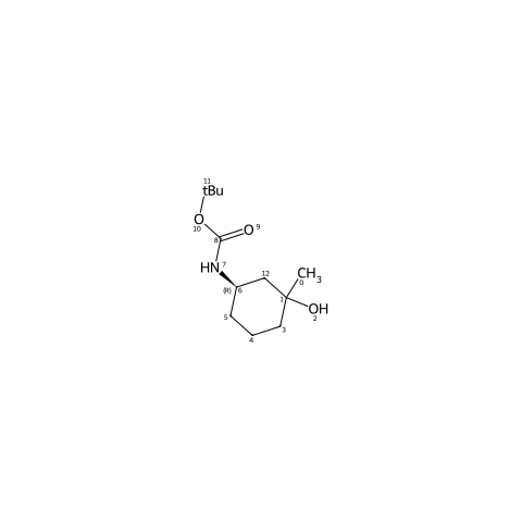 CC1(O)CCC[C@@H](NC(=O)OC(C)(C)C)C1